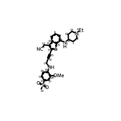 CCN1CCC(Nc2cccc3c(CC#N)c(C#CCNc4ccc(S(C)(=O)=O)cc4OC)sc23)CC1